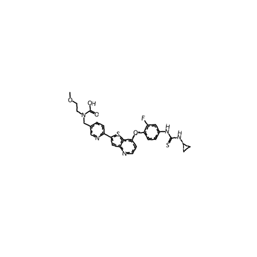 COCCN(Cc1ccc(-c2cc3nccc(Oc4ccc(NC(=S)NC5CC5)cc4F)c3s2)nc1)C(=O)O